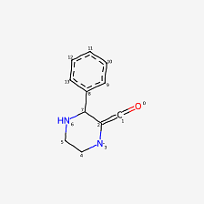 O=C=C1[N]CCNC1c1ccccc1